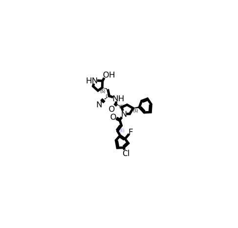 N#C[C@H](C[C@@H]1CCNC1O)NC(=O)[C@@H]1C[C@@H](c2ccccc2)CN1C(=O)/C=C/c1ccc(Cl)cc1F